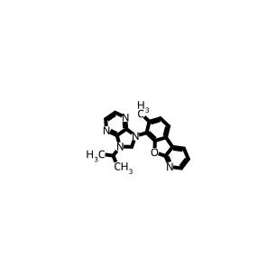 Cc1ccc2c(oc3ncccc32)c1N1CN(C(C)C)c2nccnc21